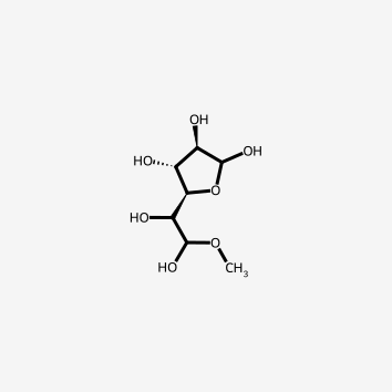 COC(O)C(O)[C@@H]1OC(O)[C@H](O)[C@H]1O